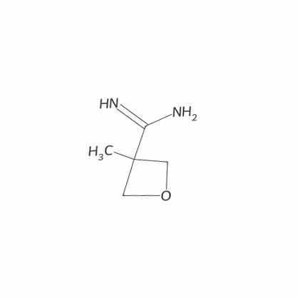 CC1(C(=N)N)COC1